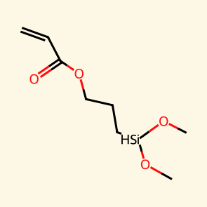 C=CC(=O)OCCC[SiH](OC)OC